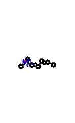 N/N=C(\N=C(/c1ccccc1)c1ccc2c(c1)Cc1c-2cccc1-c1cccc2c1Cc1cc(-c3ccccc3)ccc1-2)c1ccccc1